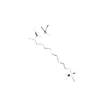 CN(CCCCCCCCCOS(C)(=O)=O)C(=O)OC(C)(C)C